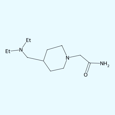 CCN(CC)CC1CCN(CC(N)=O)CC1